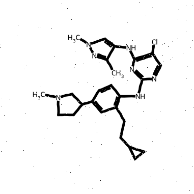 Cc1nn(C)cc1Nc1nc(Nc2ccc(C3CCN(C)C3)cc2CCC2CC2)ncc1Cl